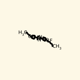 CCCCOc1ccc(-c2cnc(-c3ccc(OCC(F)CCCC)cc3)nc2)cc1